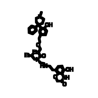 CCC(CC)CN(CCNCCc1ccc(O)c2c1OCC(=O)N2)C(=O)CCOCCc1ccc(O)c(C2(c3ccccc3)CCN(C)CC2)c1